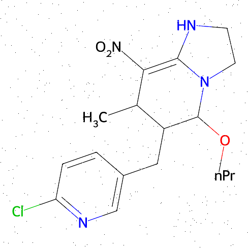 CCCOC1C(Cc2ccc(Cl)nc2)C(C)C([N+](=O)[O-])=C2NCCN21